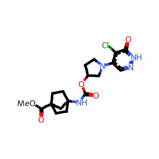 COC(=O)C12CCC(NC(=O)OC3CCN(c4cn[nH]c(=O)c4Cl)C3)(CC1)C2